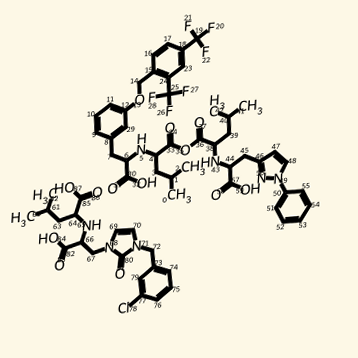 CC(C)CC(NC(Cc1cccc(OCc2ccc(C(F)(F)F)cc2C(F)(F)F)c1)C(=O)O)C(=O)OC(=O)C(CC(C)C)NC(Cc1ccn(-c2ccccc2)n1)C(=O)O.CC(C)CC(NC(Cn1ccn(Cc2cccc(Cl)c2)c1=O)C(=O)O)C(=O)O